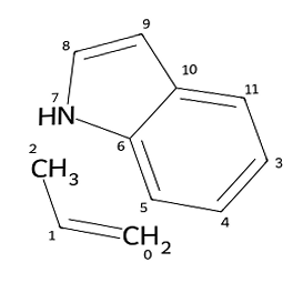 C=CC.c1ccc2[nH]ccc2c1